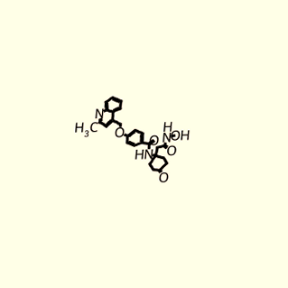 Cc1cc(COc2ccc(C(=O)NC3(CC(=O)NO)CCC(=O)CC3)cc2)c2ccccc2n1